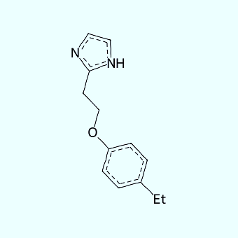 CCc1ccc(OCCc2ncc[nH]2)cc1